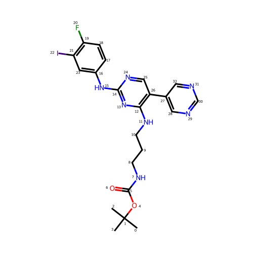 CC(C)(C)OC(=O)NCCCNc1nc(Nc2ccc(F)c(I)c2)ncc1-c1cncnc1